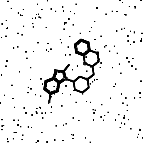 Cc1nc2ccc(F)cc2n1C1CCCN(CC2COc3ccccc3O2)C1